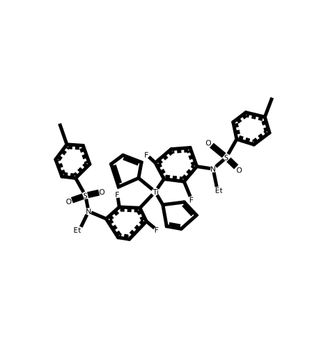 CCN(c1ccc(F)[c]([Ti]([c]2c(F)ccc(N(CC)S(=O)(=O)c3ccc(C)cc3)c2F)([CH]2C=CC=C2)[CH]2C=CC=C2)c1F)S(=O)(=O)c1ccc(C)cc1